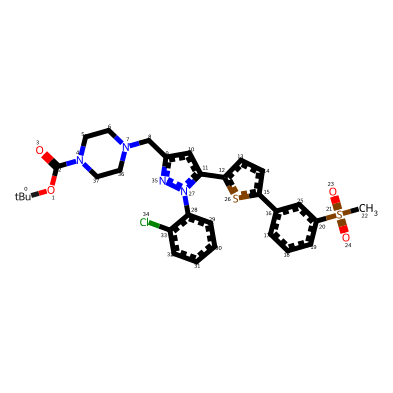 CC(C)(C)OC(=O)N1CCN(Cc2cc(-c3ccc(-c4cccc(S(C)(=O)=O)c4)s3)n(-c3ccccc3Cl)n2)CC1